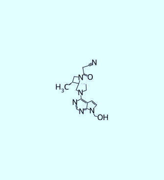 C[C@H]1CN(C(=O)CC#N)[C@]12CCN(c1ncnc3c1ccn3CO)C2